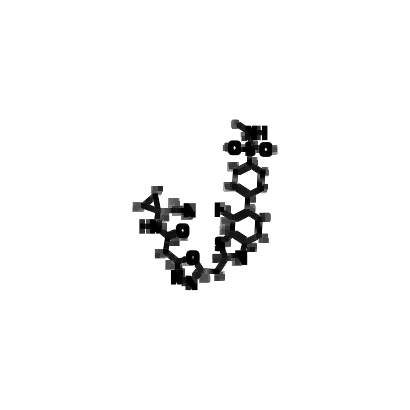 CNS(=O)(=O)c1ccc(-c2ccc3nc(Cc4nnc(CC(=O)NC5(C#N)CC5)o4)sc3c2F)cc1